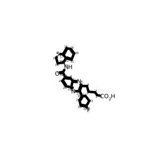 O=C(O)CCCCc1nc2cc(C(=O)N[C@@H]3CCSc4ccccc43)ccc2nc1C1=CC=C(F)CC1